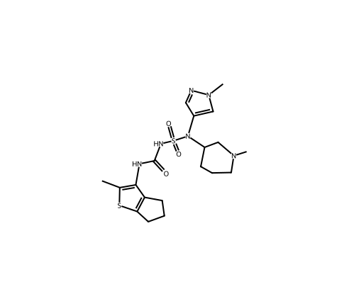 Cc1sc2c(c1NC(=O)NS(=O)(=O)N(c1cnn(C)c1)C1CCCN(C)C1)CCC2